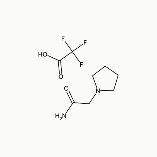 NC(=O)CN1CCCC1.O=C(O)C(F)(F)F